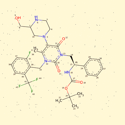 Cc1c(N2CCNC(CO)C2)c(=O)n(C[C@H](NC(=O)OC(C)(C)C)c2ccccc2)c(=O)n1Cc1c(F)cccc1C(F)(F)F